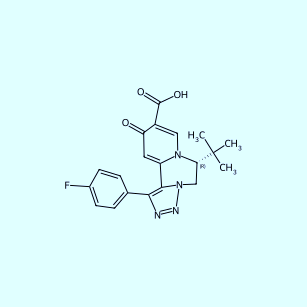 CC(C)(C)[C@@H]1Cn2nnc(-c3ccc(F)cc3)c2-c2cc(=O)c(C(=O)O)cn21